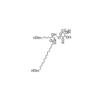 CCCCCCCCCCCCCCCCCCCCCCCCCC(=O)N[C@@H](CO[C@H]1OC(C(=O)O)[C@H](O)C(O)C1O)[C@H](O)CCCCCCCCCCCCCCC